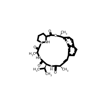 CC(C)[C@@H]1NC(=O)[C@@H](C)/C=C/c2ccc3ccc(cc3c2)[C@@H](C)OC(=O)[C@@H]2CCCN(N2)C(=O)[C@H](C)NC1=O